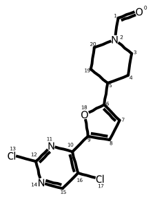 O=CN1CCC(c2ccc(-c3nc(Cl)ncc3Cl)o2)CC1